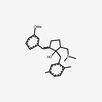 COc1cccc(C=C2CCC(CN(C)C)C2(O)Cc2cc(C)ccc2C)c1